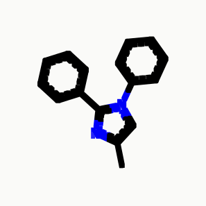 Cc1cn(-c2ccccc2)c(-c2ccccc2)n1